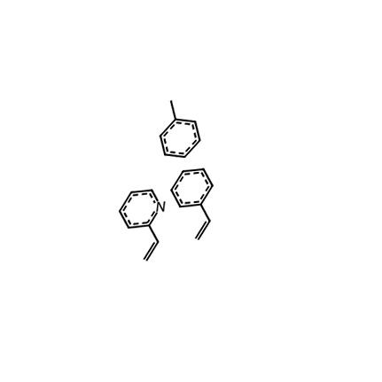 C=Cc1ccccc1.C=Cc1ccccn1.Cc1ccccc1